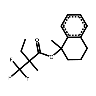 CCC(C)(C(=O)OC1(C)CCCc2ccccc21)C(F)(F)F